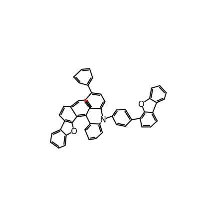 c1ccc(-c2ccc(N(c3ccc(-c4cccc5c4oc4ccccc45)cc3)c3ccccc3-c3cccc4ccc5c6ccccc6oc5c34)cc2)cc1